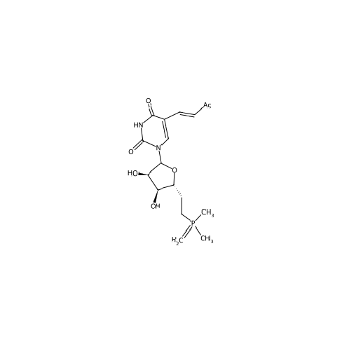 C=P(C)(C)CC[C@H]1OC(n2cc(/C=C/C(C)=O)c(=O)[nH]c2=O)[C@H](O)[C@@H]1O